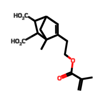 C=C(C)C(=O)OCCC1=CC2CC1(C)C(C(=O)O)C2C(=O)O